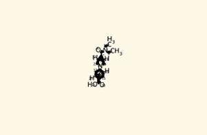 CCN(CC)C(=O)[C@H]1[C@@H]2CN(C3C[C@@H]4CC[C@H]3CN4C(=O)O)C[C@@H]21